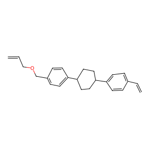 C=CCOCc1ccc(C2CCC(c3ccc(C=C)cc3)CC2)cc1